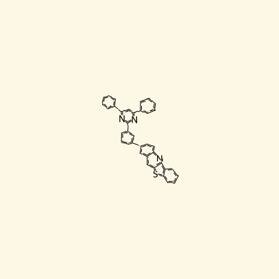 c1ccc(-c2cc(-c3ccccc3)nc(-c3cccc(-c4ccc5nc6c(cc5c4)sc4ccccc46)c3)n2)cc1